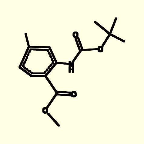 COC(=O)c1ccc(C)cc1NC(=O)OC(C)(C)C